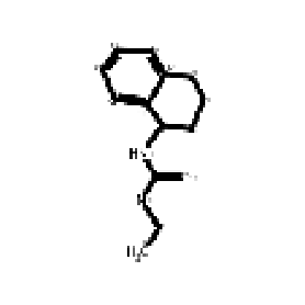 CCNC(=O)NC1CCCc2ccccc21